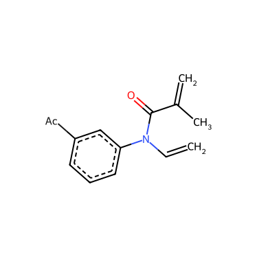 C=CN(C(=O)C(=C)C)c1cccc(C(C)=O)c1